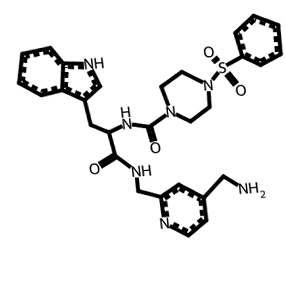 NCc1ccnc(CNC(=O)C(Cc2c[nH]c3ccccc23)NC(=O)N2CCN(S(=O)(=O)c3ccccc3)CC2)c1